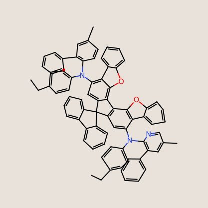 CCc1ccc(N(c2ccc(C)cc2-c2ccccc2)c2cc3c(c4oc5ccccc5c24)-c2c(cc(N(c4ccc(CC)cc4)c4ncc(C)cc4-c4ccccc4)c4c2oc2ccccc24)C32c3ccccc3-c3ccccc32)cc1